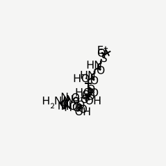 CCC(C)(C)C(=O)SCCNC(=O)CCNC(=O)[C@H](O)C(C)(C)COP(=O)(O)OP(=O)(O)OC[C@H]1OC(n2cnc3c(N)ncnc32)[C@H](O)[C@@H]1OP(=O)(O)O